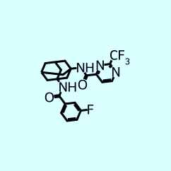 O=C(NC12CC3CC(C1)CC(NC(=O)c1ccnc(C(F)(F)F)n1)(C3)C2)c1cccc(F)c1